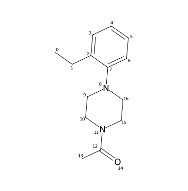 CCc1ccccc1N1CCN(C(C)=O)CC1